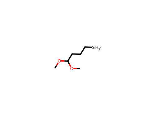 COC(CCC[SiH2])OC